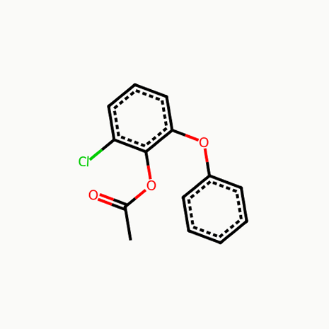 CC(=O)Oc1c(Cl)cccc1Oc1ccccc1